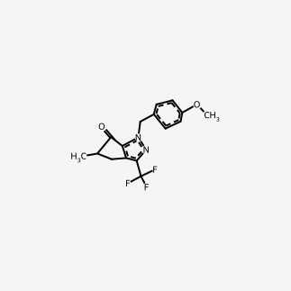 COc1ccc(Cn2nc(C(F)(F)F)c3c2C(=O)C(C)C3)cc1